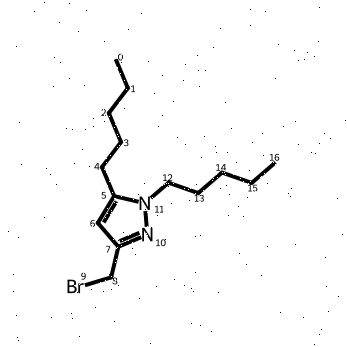 CCCCCc1cc(CBr)nn1CCCCC